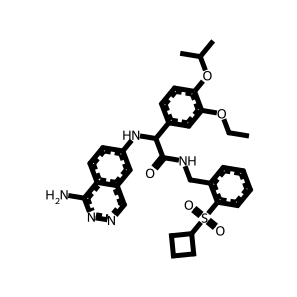 CCOc1cc(C(Nc2ccc3c(N)nncc3c2)C(=O)NCc2ccccc2S(=O)(=O)C2CCC2)ccc1OC(C)C